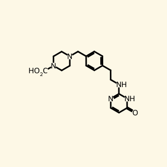 O=C(O)N1CCN(Cc2ccc(CCNc3nccc(=O)[nH]3)cc2)CC1